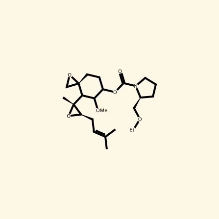 CCOC[C@@H]1CCCN1C(=O)OC1CC[C@]2(CO2)C([C@@]2(C)O[C@@H]2CC=C(C)C)C1OC